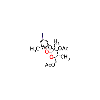 CC(=O)OC[C@H]1O[C@H](Oc2ccc(I)cc2C)[C@@](C)(OC(C)=O)[C@@H](OC(C)=O)[C@@H]1C